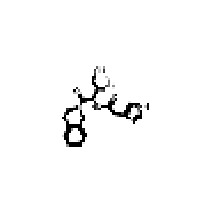 CCC(C)[C@H](NC(=O)Cc1c[nH]cn1)C(=O)N1CCc2ccccc2C1